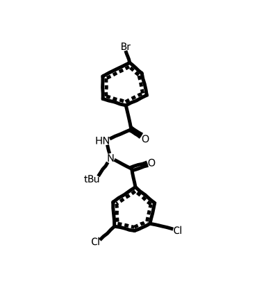 CC(C)(C)N(NC(=O)c1ccc(Br)cc1)C(=O)c1cc(Cl)cc(Cl)c1